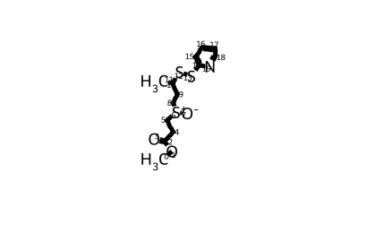 COC(=O)CC[S+]([O-])CCC(C)SSc1ccccn1